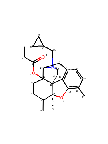 CCC(=O)OC12CCC(C)[C@@H]3Oc4c(C)ccc5c4[C@@]31CCN(CC1CC1)C2C5